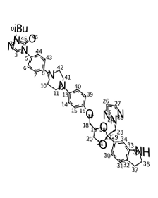 CCC(C)n1ncn(-c2ccc(N3CCN(c4ccc(OC[C@@H]5CO[C@@](Cn6nccn6)(c6ccc7c(c6)NCC7)O5)cc4)CC3)cc2)c1=O